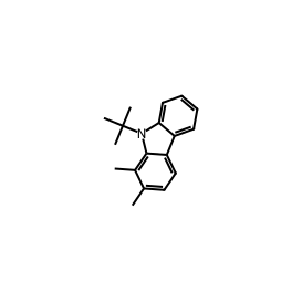 Cc1ccc2c3ccccc3n(C(C)(C)C)c2c1C